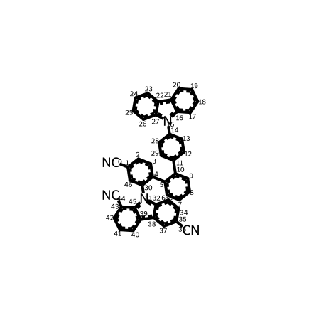 N#Cc1ccc(-c2ccccc2-c2ccc(-n3c4ccccc4c4ccccc43)cc2)c(-n2c3ccc(C#N)cc3c3cccc(C#N)c32)c1